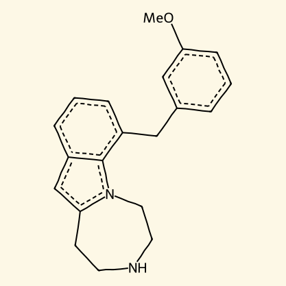 COc1cccc(Cc2cccc3cc4n(c23)CCNCC4)c1